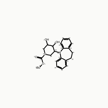 CC(C)(C)OC(=O)N1CC(O)C(O)C(N2c3ccccc3CCc3ccccc32)C1